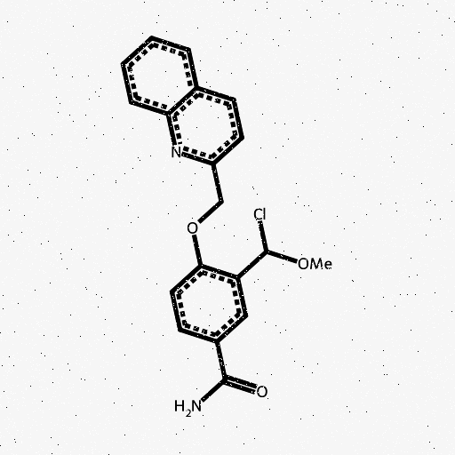 COC(Cl)c1cc(C(N)=O)ccc1OCc1ccc2ccccc2n1